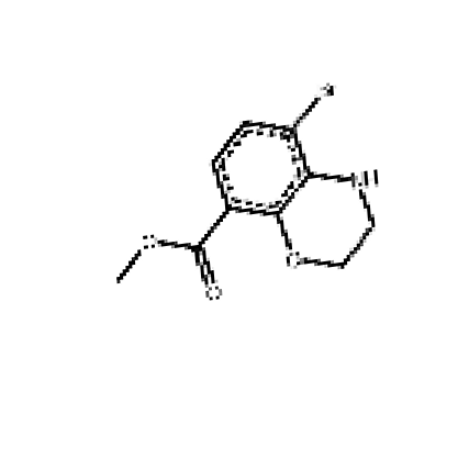 COC(=O)c1ccc(Br)c2c1OCCN2